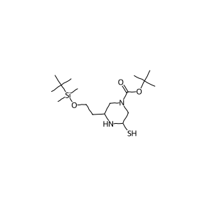 CC(C)(C)OC(=O)N1CC(S)NC(CCO[Si](C)(C)C(C)(C)C)C1